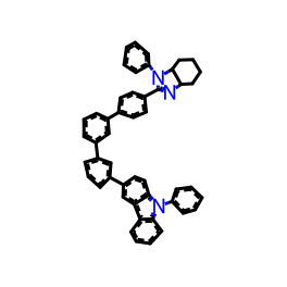 c1ccc(N2C(c3ccc(-c4cccc(-c5cccc(-c6ccc7c(c6)c6ccccc6n7-c6ccccc6)c5)c4)cc3)=NC3CCCCC32)cc1